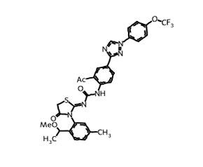 COC(C)c1ccc(C)cc1N1C(=O)CS/C1=N\C(=O)Nc1ccc(-c2ncn(-c3ccc(OC(F)(F)F)cc3)n2)cc1C(C)=O